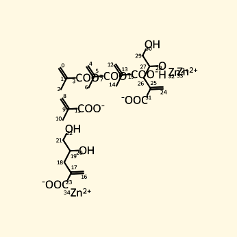 C=C(C)C(=O)[O-].C=C(C)C(=O)[O-].C=C(C)C(=O)[O-].C=C(C)C(=O)[O-].C=C(CC(O)CO)C(=O)[O-].C=C(CC(O)CO)C(=O)[O-].[Zn+2].[Zn+2].[Zn+2]